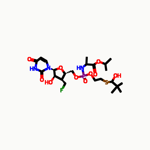 CC(C)OC(=O)C(C)NP(=O)(OCCSC(O)C(C)(C)C)OC[C@H]1O[C@@H](n2ccc(=O)[nH]c2=O)[C@H](O)[C@@H]1CF